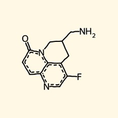 NCC1Cc2c(F)cnc3ccc(=O)n(c23)C1